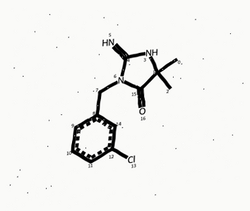 CC1(C)NC(=N)N(Cc2cccc(Cl)c2)C1=O